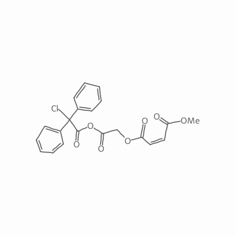 COC(=O)/C=C\C(=O)OCC(=O)OC(=O)C(Cl)(c1ccccc1)c1ccccc1